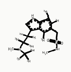 [2H]c1c(CS(=O)(=O)NC)c([2H])c2c(C([2H])([2H])C([2H])([2H])N(C)C([2H])([2H])[2H])c[nH]c2c1[2H]